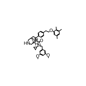 COc1cc(CN(C(=O)C2=C(c3ccc(CCOc4cc(C)cc(C)c4C)cc3)CC3CNC[C@H]2N3)C2CC2)cc(OC)c1